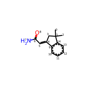 CC1(C)CC(=CC(N)=O)c2ccccc21